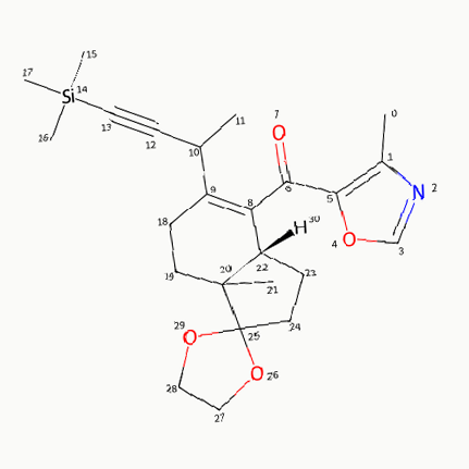 Cc1ncoc1C(=O)C1=C(C(C)C#C[Si](C)(C)C)CCC2(C)[C@H]1CCC21OCCO1